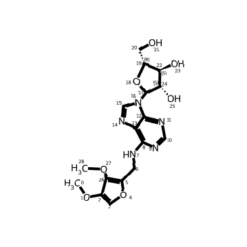 COc1coc(CNc2ncnc3c2ncn3C2O[C@H](CO)[C@@H](O)[C@@H]2O)c1OC